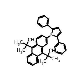 CC(C)(C)c1c2ccccc2c(C(C)(C)C)c2cc(-n3c(-c4ccccc4)ccc3-c3ccccc3)ccc12